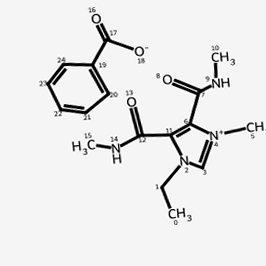 CCn1c[n+](C)c(C(=O)NC)c1C(=O)NC.O=C([O-])c1ccccc1